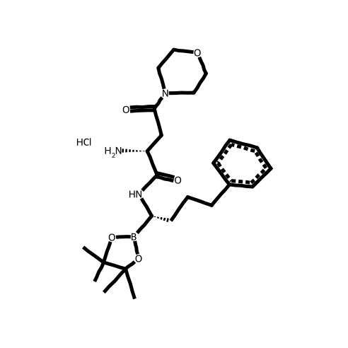 CC1(C)OB([C@@H](CCCc2ccccc2)NC(=O)[C@H](N)CC(=O)N2CCOCC2)OC1(C)C.Cl